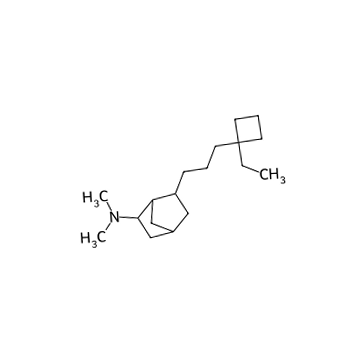 CCC1(CCCC2CC3CC2C(N(C)C)C3)CCC1